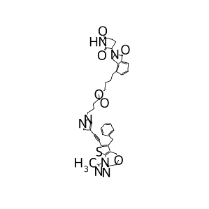 Cc1nnc2n1-c1sc(C#Cc3cnn(CCCC(=O)OCCCCc4cccc5c4CN(C4CCC(=O)NC4=O)C5=O)c3)c(Cc3ccccc3)c1COC2